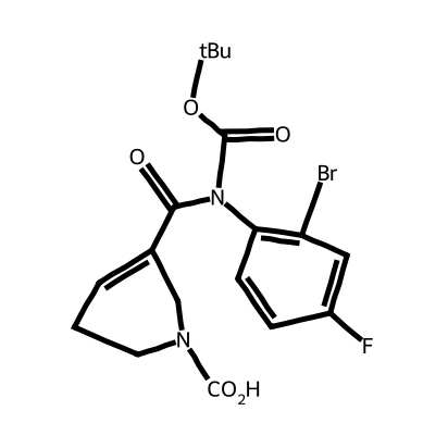 CC(C)(C)OC(=O)N(C(=O)C1=CCCN(C(=O)O)C1)c1ccc(F)cc1Br